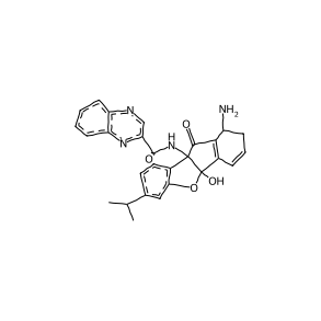 CC(C)c1ccc2c(c1)OC1(O)C3=C(C(=O)C21NC(=O)c1cnc2ccccc2n1)C(N)CC=C3